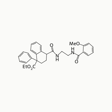 CCOC(=O)C1(c2ccccc2)CCC(C(=O)NCCNC(=O)c2ccccc2OC)c2ccccc21